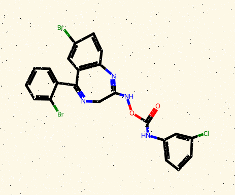 O=C(Nc1cccc(Cl)c1)ONC1=Nc2ccc(Br)cc2C(c2ccccc2Br)=NC1